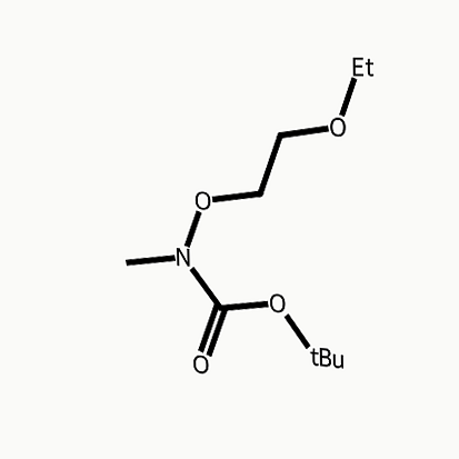 CCOCCON(C)C(=O)OC(C)(C)C